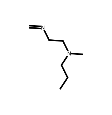 C=NCCN(C)CCC